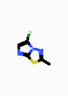 Cc1nn2c(Cl)cnc2s1